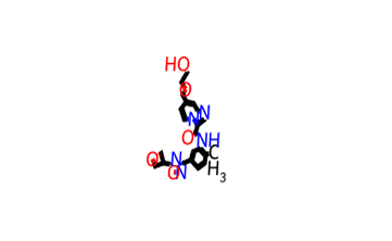 Cc1ccc(-c2noc(C3COC3)n2)cc1NC(=O)c1cnc2cc(COCCO)ccn12